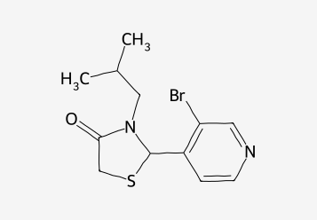 CC(C)CN1C(=O)CSC1c1ccncc1Br